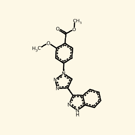 COC(=O)c1ccc(-n2cc(-c3n[nH]c4ccccc34)nn2)cc1OC